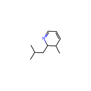 CC(C)CC1N=CC=CC1C